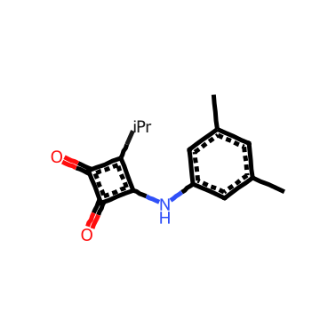 Cc1cc(C)cc(Nc2c(C(C)C)c(=O)c2=O)c1